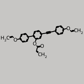 C=COc1ccc(C#Cc2ccc(-c3ccc(OC=C)cc3)c(OC(=O)C=C)c2)cc1